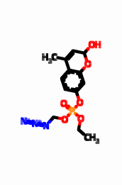 CCOP(=O)(OCN=[N+]=[N-])Oc1ccc2c(c1)OC(O)C=C2C